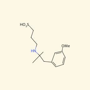 COc1cccc(CC(C)(C)NCCCS(=O)(=O)O)c1